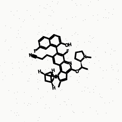 Cc1cc2c(OC(C)[C@@H]3CCCN3C)nc3c(F)c(-c4c(O)ccc5ccc(F)cc45)c(CCC#N)cc3c2n1[C@H]1[C@H]2CN[C@@H]1C2